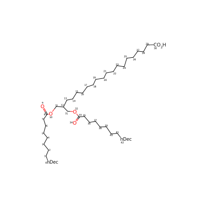 CCCCCCCCCCCCCCCCCC(=O)OCC(CCCCCCCCCCCCCCCCCC(=O)O)COC(=O)CCCCCCCCCCCCCCCCC